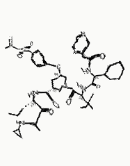 CCC[C@H](NC(=O)[C@@H]1C[C@@H](Oc2ccc(S(=O)(=O)NC)cc2)CN1C(=O)[C@@H](NC(=O)[C@@H](NC(=O)c1cnccn1)C1CCCCC1)C(C)(C)C)C(=O)C(C)NC1CC1